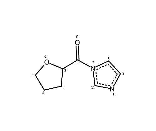 O=C(C1CCCO1)n1ccnc1